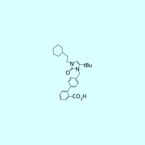 CC(C)(C)c1cn(CCC2CCCCC2)c(=O)n1Cc1ccc(-c2ccccc2C(=O)O)cc1